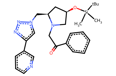 CC(C)(C)[Si](C)(C)O[C@@H]1C[C@H](Cn2cc(-c3cccnc3)nn2)N(CC(=O)c2ccccc2)C1